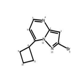 Brc1cc2n[c]cc(C3CCC3)n2n1